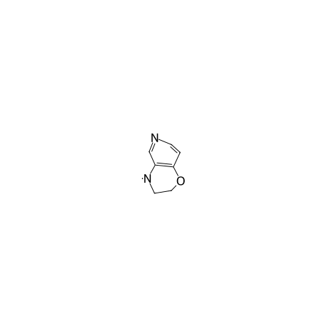 c1cc2c(cn1)[N]CCO2